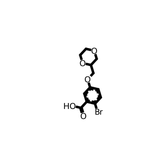 O=C(O)c1cc(OCC2COCCO2)ccc1Br